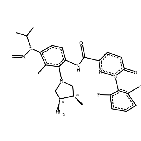 C=NN(c1ccc(NC(=O)c2ccc(=O)n(-c3c(F)cccc3F)n2)c(N2C[C@@H](C)[C@@H](N)C2)c1C)C(C)C